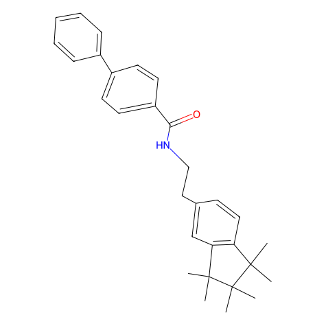 CC1(C)c2ccc(CCNC(=O)c3ccc(-c4ccccc4)cc3)cc2C(C)(C)C1(C)C